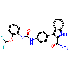 NC(=O)c1[nH]c2ccccc2c1-c1ccc(NC(=O)Nc2ccccc2OC(F)F)cc1